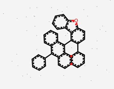 c1ccc(-c2ccc3oc4ccccc4c3c2-c2c3ccccc3c(-c3ccccc3)c3ccccc23)cc1